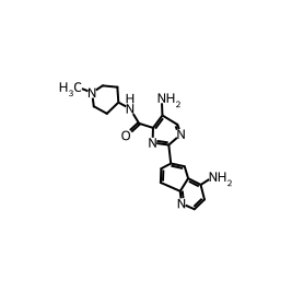 CN1CCC(NC(=O)c2nc(-c3ccc4nccc(N)c4c3)ncc2N)CC1